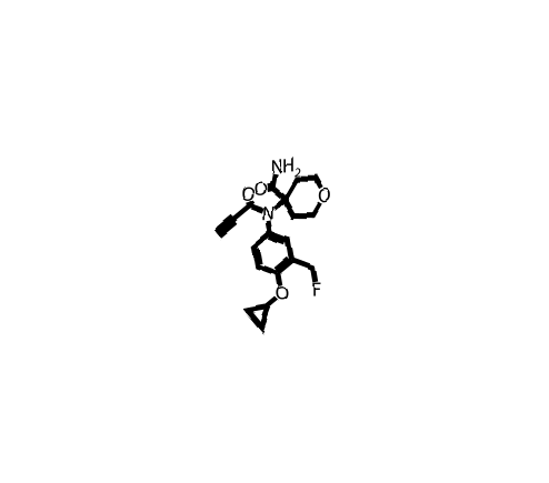 C#CC(=O)N(c1ccc(OC2CC2)c(CF)c1)C1(C(N)=O)CCOCC1